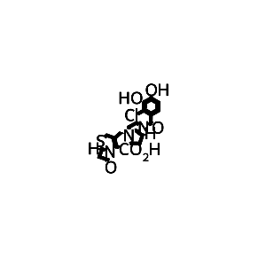 O=C(O)C1=C(C[N@@+]23CC[C@@H](C2)N(C(=O)c2ccc(O)c(O)c2Cl)CC3)CS[C@@H]2CC(=O)N12